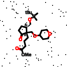 COC(=O)CCC[C@@]1(COC2CCOCC2)C(=O)CC[C@@H]1CO[Si](C)(C)C(C)(C)C